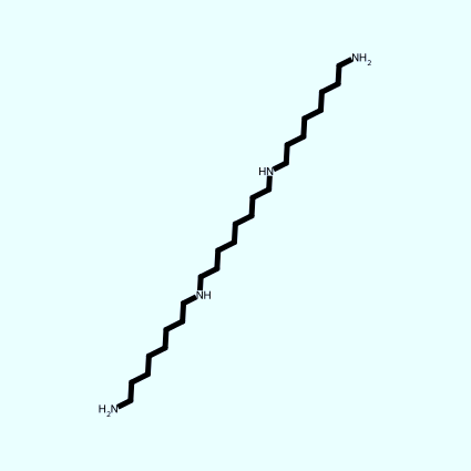 NCCCCCCCCNCCCCCCCCNCCCCCCCCN